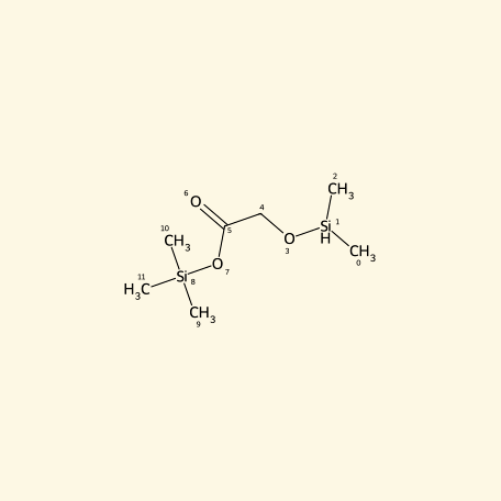 C[SiH](C)OCC(=O)O[Si](C)(C)C